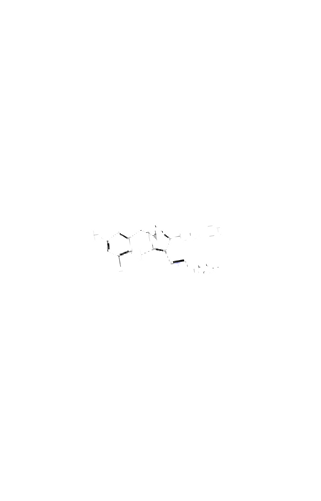 CCOC(=O)c1nn(Cc2cc(F)cc(F)c2)c(Cl)c1/C=C/OC